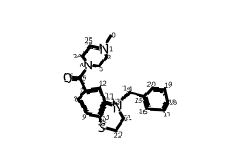 CN1CCN(C(=O)c2ccc3c(c2)N(Cc2ccccc2)CCS3)CC1